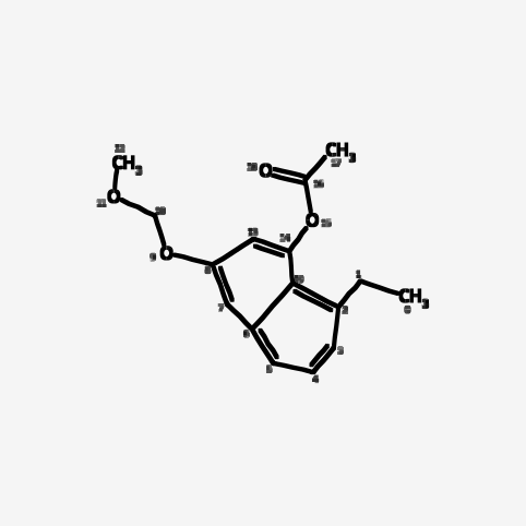 CCc1cccc2cc(OCOC)cc(OC(C)=O)c12